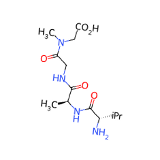 CC(C)[C@H](N)C(=O)N[C@@H](C)C(=O)NCC(=O)N(C)CC(=O)O